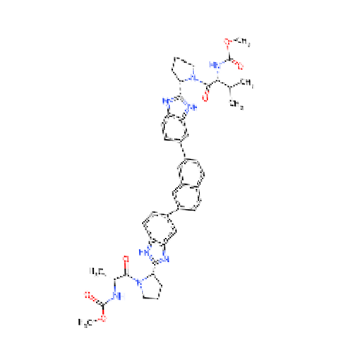 COC(=O)N[C@H](C)C(=O)N1CCC[C@H]1c1nc2cc(-c3ccc4ccc(-c5ccc6nc([C@@H]7CCCN7C(=O)[C@H](NC(=O)OC)C(C)C)[nH]c6c5)cc4c3)ccc2[nH]1